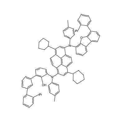 Cc1ccc(N(c2cccc(-c3cccc(-c4ccccc4C(C)C)c3)c2O)c2cc(C3CCCCC3)c3ccc4c(N(c5ccc(C)cc5)c5cccc6c5oc5c(-c7ccccc7C(C)C)cccc56)cc(C5CCCCC5)c5ccc2c3c54)cc1